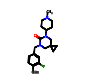 CC(C)COc1ccc(CN2CC3(CC3)CN(C3CCN(C)CC3)C2=O)cc1F